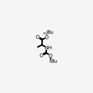 CC[C@@H](C)OC(=O)C(C)NC(=O)OC(C)(C)C